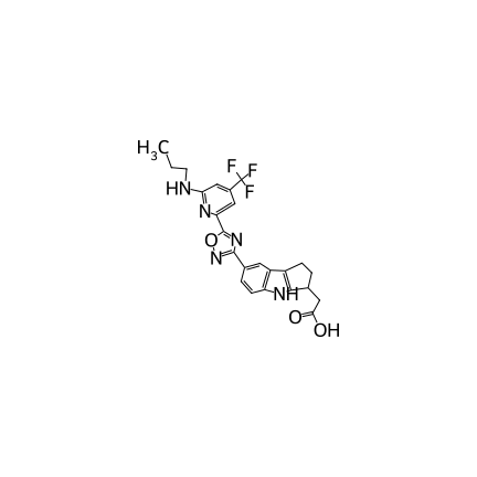 CCCNc1cc(C(F)(F)F)cc(-c2nc(-c3ccc4[nH]c5c(c4c3)CCC5CC(=O)O)no2)n1